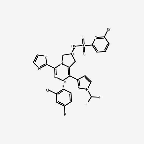 O=S(=O)(N[C@H]1CC2=C(c3ccn(C(F)F)n3)[C@H](c3ccc(F)cc3Cl)N=C(c3nccs3)N2C1)c1cccc(Br)n1